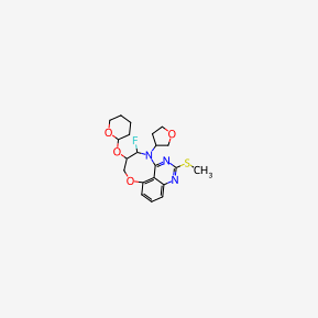 CSc1nc2c3c(cccc3n1)OCC(OC1CCCCO1)C(F)N2C1CCOC1